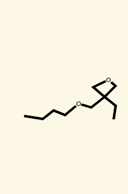 CCCCOCC1(CC)COC1